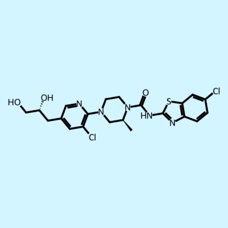 C[C@H]1CN(c2ncc(C[C@@H](O)CO)cc2Cl)CCN1C(=O)Nc1nc2ccc(Cl)cc2s1